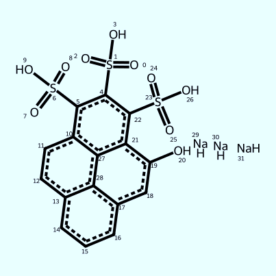 O=S(=O)(O)c1c(S(=O)(=O)O)c2ccc3cccc4cc(O)c(c1S(=O)(=O)O)c2c34.[NaH].[NaH].[NaH]